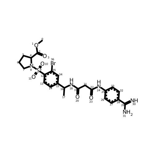 COC(=O)C1CCCN1S(=O)(=O)c1ccc(C(C)NC(=O)CC(=O)Nc2ccc(C(=N)N)cc2)cc1Br